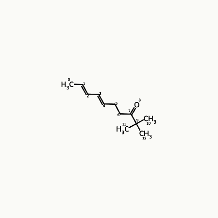 CC=CC=CCCC(=O)C(C)(C)C